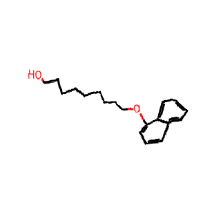 OCCCCCCCCCOc1cccc2ccccc12